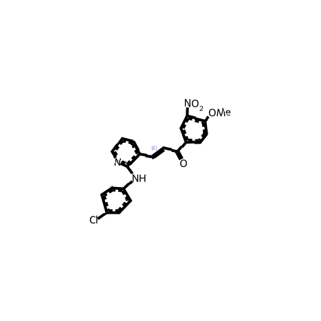 COc1ccc(C(=O)/C=C/c2cccnc2Nc2ccc(Cl)cc2)cc1[N+](=O)[O-]